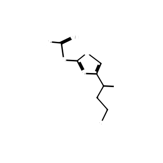 N=C(N)Nc1nc(C(S)CCN)cs1